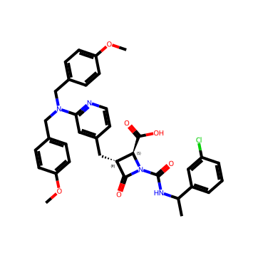 COc1ccc(CN(Cc2ccc(OC)cc2)c2cc(C[C@H]3C(=O)N(C(=O)NC(C)c4cccc(Cl)c4)[C@@H]3C(=O)O)ccn2)cc1